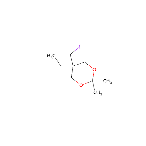 CCC1(CI)COC(C)(C)OC1